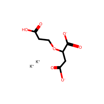 O=C([O-])CC(OCCC(=O)O)C(=O)[O-].[K+].[K+]